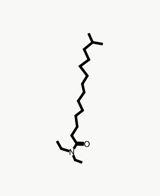 CCN(CC)C(=O)CCCCCCCCCCCC(C)C